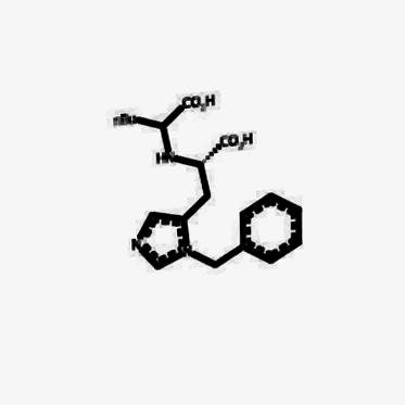 CCCCC(N[C@@H](Cc1cncn1Cc1ccccc1)C(=O)O)C(=O)O